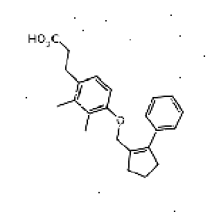 Cc1c(CCC(=O)O)ccc(OCC2=C(c3ccccc3)CCC2)c1C